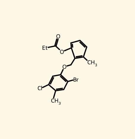 CCC(=O)Oc1cccc(C)c1COc1cc(Cl)c(C)cc1Br